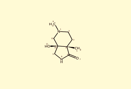 CN1CC[C@]2(C)C(=O)NC[C@]2(O)C1